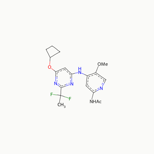 COc1cnc(NC(C)=O)cc1Nc1cc(OC2CCC2)nc(C(C)(F)F)n1